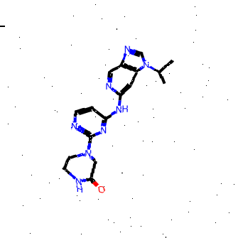 CC(C)n1cnc2cnc(Nc3ccnc(N4CCNC(=O)C4)n3)cc21